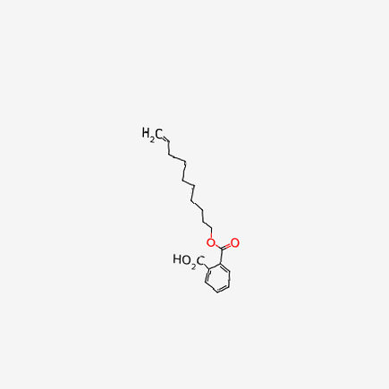 C=CCCCCCCCCOC(=O)c1ccccc1C(=O)O